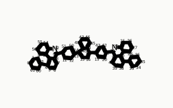 c1ccc(-c2cccc3c(-c4ccc(-c5ccc(-c6ccc(-c7nc8ccccc8c8c(-c9ccccc9)cccc78)cc6)c6ccccc56)cc4)nc4ccccc4c23)cc1